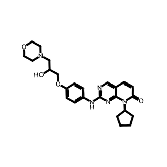 O=c1ccc2cnc(Nc3ccc(OCC(O)CN4CCOCC4)cc3)nc2n1C1CCCC1